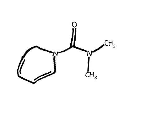 CN(C)C(=O)N1C=CC=CC1